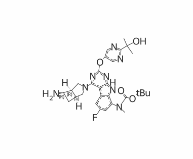 CN(C(=O)OC(C)(C)C)c1cc(F)cc2c1[nH]c1nc(Oc3cnc(C(C)(C)O)nc3)nc(N3C[C@H]4C[C@@H](N)[C@H]4C3)c12